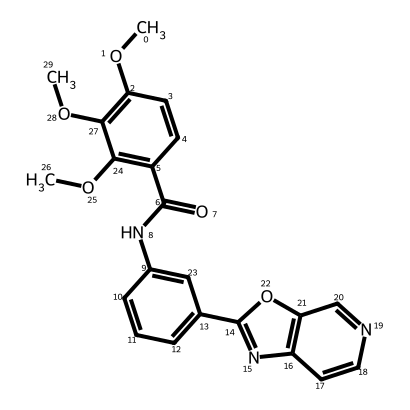 COc1ccc(C(=O)Nc2cccc(-c3nc4ccncc4o3)c2)c(OC)c1OC